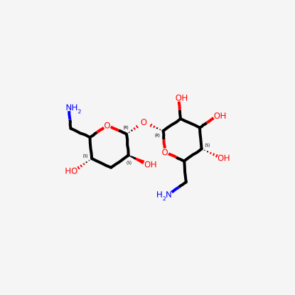 NCC1O[C@H](O[C@H]2OC(CN)[C@@H](O)C[C@@H]2O)C(O)C(O)[C@@H]1O